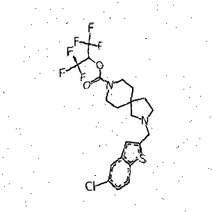 O=C(OC(C(F)(F)F)C(F)(F)F)N1CCC2(CCN(Cc3cc4cc(Cl)ccc4s3)C2)CC1